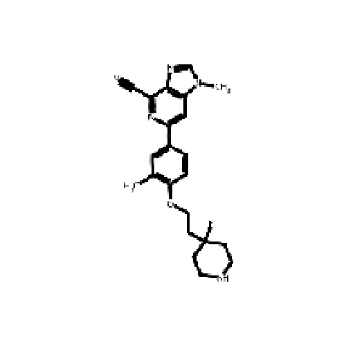 Cc1cc(-c2cc3c(ncn3C)c(C#N)n2)ccc1OCCC1(F)CCNCC1